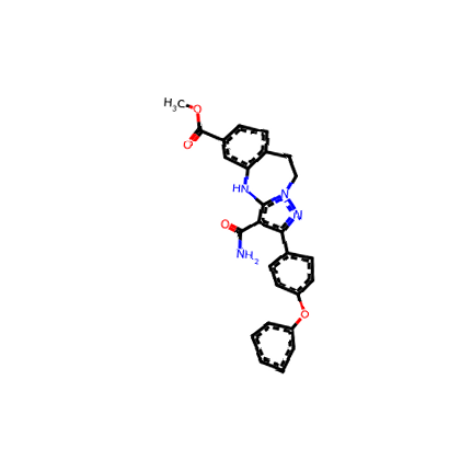 COC(=O)c1ccc2c(c1)Nc1c(C(N)=O)c(-c3ccc(Oc4ccccc4)cc3)nn1CC2